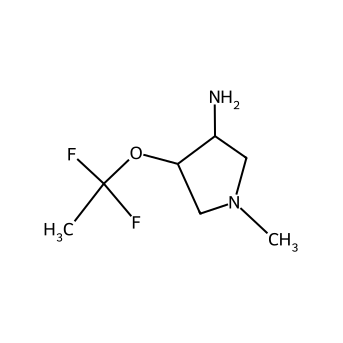 CN1CC(N)C(OC(C)(F)F)C1